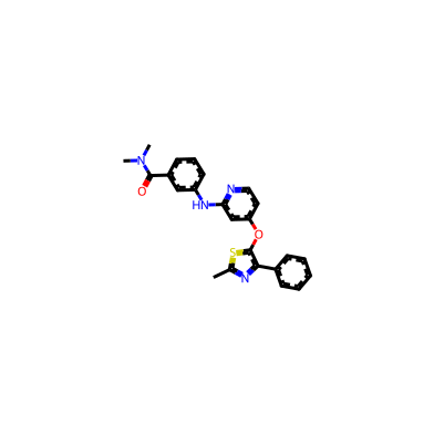 Cc1nc(-c2ccccc2)c(Oc2ccnc(Nc3cccc(C(=O)N(C)C)c3)c2)s1